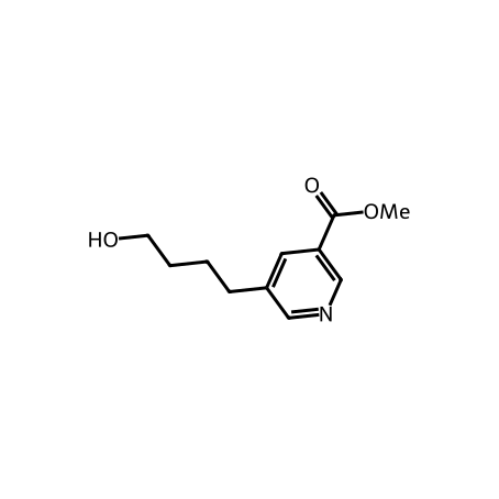 COC(=O)c1cncc(CCCCO)c1